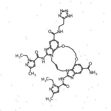 CCn1nc(C)cc1C(=O)Nc1nc2cc(C(N)=O)cc3c2n1C/C=C/Cn1c(NC(=O)c2cc(C)nn2CC)nc2cc(C(=O)NCCc4nnn[nH]4)cc(c21)OCCCO3